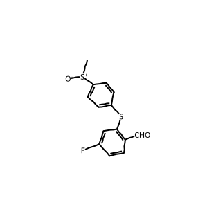 C[S+]([O-])c1ccc(Sc2cc(F)ccc2C=O)cc1